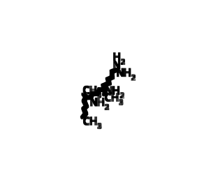 CCCCCCC(CC)C(N)CCCC(N)(CC)CCCCCC(N)N